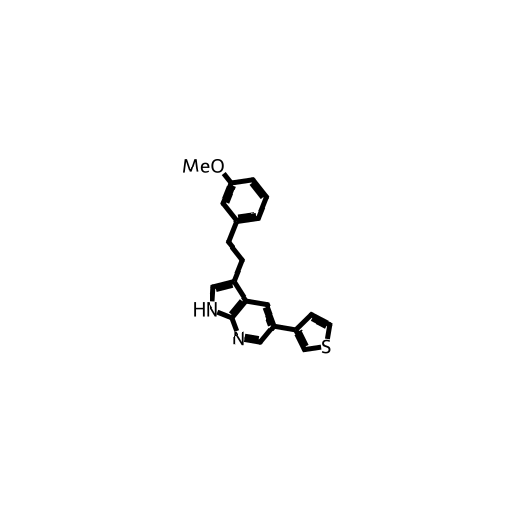 COc1cccc(CCc2c[nH]c3ncc(-c4ccsc4)cc23)c1